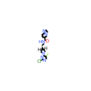 O=C(NCC[C@@H]1[C@H]2CN(c3nc(Cl)ncc3F)C[C@@H]12)c1ccc2nccn2c1